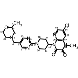 CC1CN(Cc2cnc(N3CCC(n4c(=O)c(=O)n(C)c5cc(Cl)cnc54)CC3)nc2)CCO1